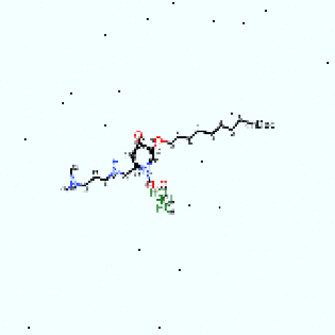 CCCCCCCCCCCCCCCCCCOc1cn(C)c(CNCCCN(C)C)cc1=O.Cl.Cl.Cl.O